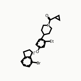 CCc1cc(O[C@H]2CCc3cccc(Br)c32)ccc1C1CCN(C(=O)C2CC2)CC1